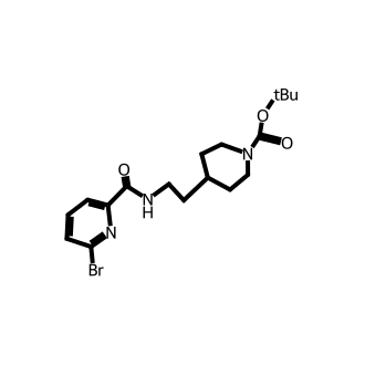 CC(C)(C)OC(=O)N1CCC(CCNC(=O)c2cccc(Br)n2)CC1